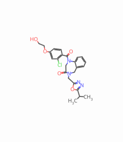 CC(C)c1nnc(CN2Cc3ccccc3N(C(=O)c3ccc(OCCO)cc3Cl)CC2=O)o1